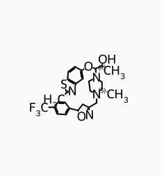 Cc1nc2cc(OC([C@@H](C)O)N3CCN(CC4=NOC(c5ccc(C(F)(F)F)cc5)C4)[C@@H](C)C3)ccc2s1